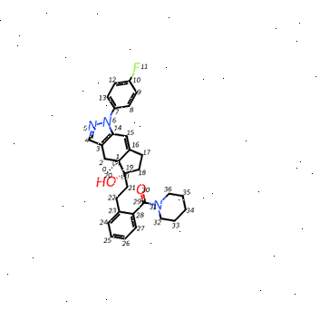 C[C@]12Cc3cnn(-c4ccc(F)cc4)c3C=C1CC[C@@]2(O)CCc1ccccc1C(=O)N1CCCCC1